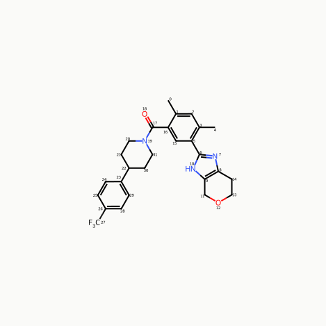 Cc1cc(C)c(-c2nc3c([nH]2)COCC3)cc1C(=O)N1CCC(c2ccc(C(F)(F)F)cc2)CC1